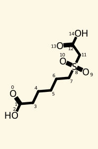 O=C(O)CCCCCS(=O)(=O)CC(=O)O